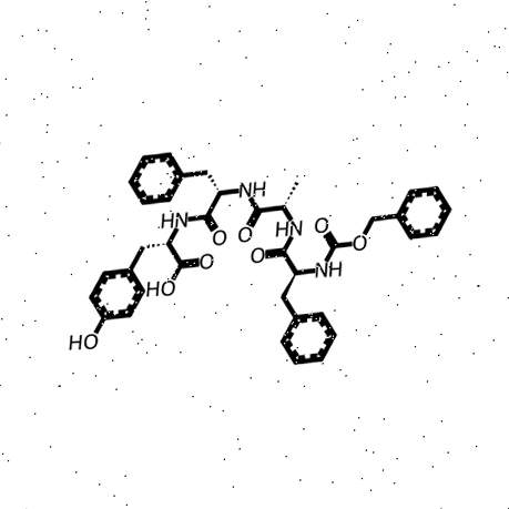 C[C@H](NC(=O)[C@H](Cc1ccccc1)NC(=O)OCc1ccccc1)C(=O)N[C@@H](Cc1ccccc1)C(=O)N[C@@H](Cc1ccc(O)cc1)C(=O)O